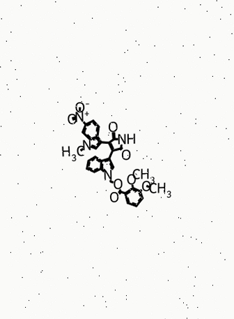 COc1cccc(C(=O)OCn2cc(C3=C(c4cn(C)c5cc([N+](=O)[O-])ccc45)C(=O)NC3=O)c3ccccc32)c1OC